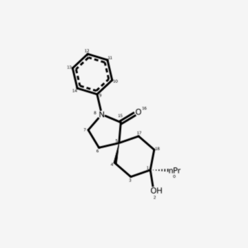 CCC[C@]1(O)CC[C@]2(CCN(c3cc[c]cc3)C2=O)CC1